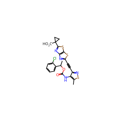 Cc1snc(C#Cc2nc3nc(C4(C(=O)O)CC4)sc3s2)c1NC(=O)OC(C)c1ccccc1Cl